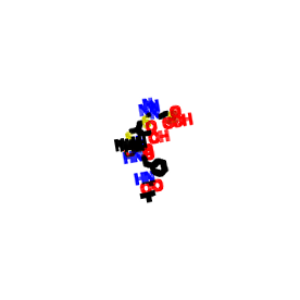 CO[C@@]1(NC(=O)Cc2ccccc2NC(=O)OC(C)(C)C)C(=O)N2C(C(=O)O)=C(CSc3nnnn3CCS(=O)(=O)O)CS[C@@H]21.[NaH].[NaH]